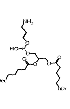 CCCCCCCCCCCCCCC(=O)OCC(COP(O)OCCCN)OC(=O)CCCCCCCCCCCCCC